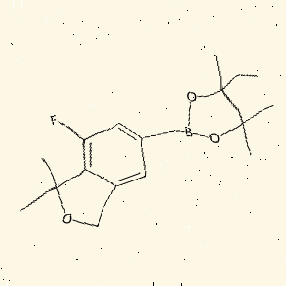 CC1(C)OCc2cc(B3OC(C)(C)C(C)(C)O3)cc(F)c21